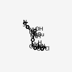 Cc1ncsc1-c1ccc(CNC(=O)[C@@H]2C[C@@H](O)CN2C(=O)[C@@H](NC(=O)C2CCC(CNC(=O)c3cccc(S(=O)(=O)Nc4cccc5c(Cl)c[nH]c45)c3)CC2)C(C)(C)C)cc1